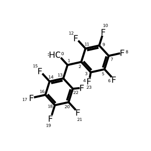 [CH]C(c1c(F)c(F)c(F)c(F)c1F)c1c(F)c(F)c(F)c(F)c1F